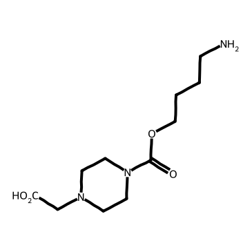 NCCCCOC(=O)N1CCN(CC(=O)O)CC1